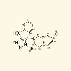 Cc1ccccc1C(c1nnnn1C(C)(C)C)N1CCc2ccc(Cl)cc2C1